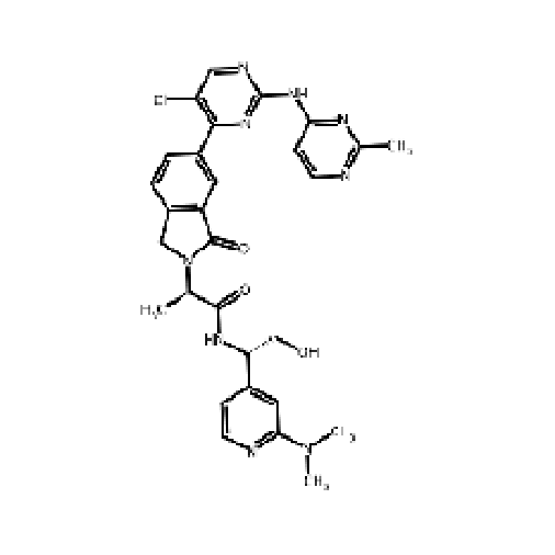 Cc1nccc(Nc2ncc(Cl)c(-c3ccc4c(c3)C(=O)N([C@H](C)C(=O)N[C@H](CO)c3ccnc(N(C)C)c3)C4)n2)n1